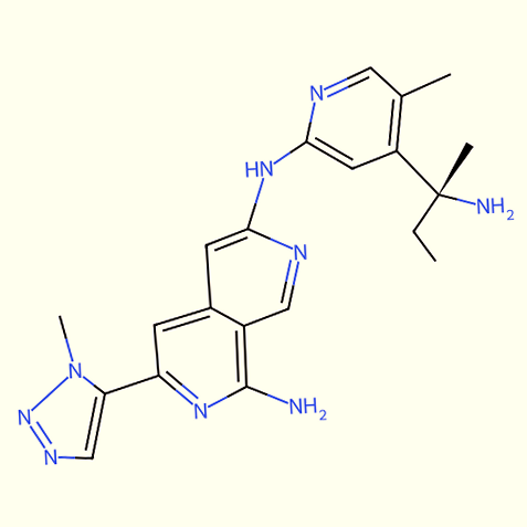 CC[C@@](C)(N)c1cc(Nc2cc3cc(-c4cnnn4C)nc(N)c3cn2)ncc1C